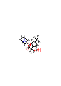 CN1C2CCC1CC(OC(=O)C(C)(CO)c1ccc(C(C)(C)C)cc1)C2